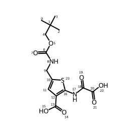 CC(C)(C)COC(=O)NCc1cc(C(=O)O)c(NC(=O)C(=O)O)s1